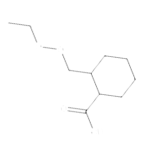 CCOOCC1CCCCC1C(=O)O